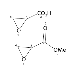 COC(=O)C1CO1.O=C(O)C1CO1